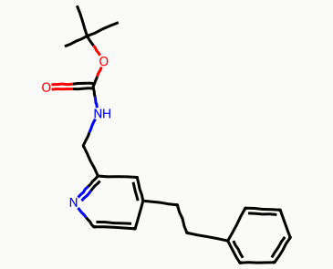 CC(C)(C)OC(=O)NCc1cc(CCc2ccccc2)ccn1